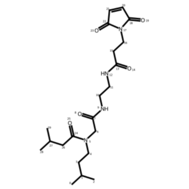 CC(C)CCN(CC(=O)NCCNC(=O)CCN1C(=O)C=CC1=O)C(=O)CC(C)C